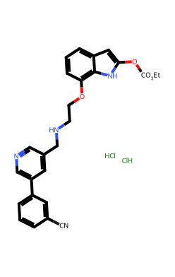 CCOC(=O)Oc1cc2cccc(OCCNCc3cncc(-c4cccc(C#N)c4)c3)c2[nH]1.Cl.Cl